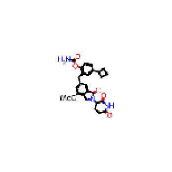 COc1cc(Cc2cc(C3CCC3)ccc2OC(N)=O)cc2c1CN(C1CCC(=O)NC1=O)C2=O